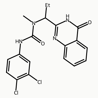 CCC(c1nc2ccccc2c(=O)[nH]1)N(C)C(=O)Nc1ccc(Cl)c(Cl)c1